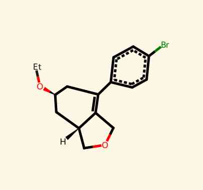 CCO[C@H]1CC(c2ccc(Br)cc2)=C2COC[C@@H]2C1